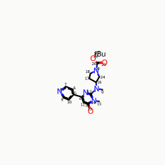 CN(c1nc(-c2ccncc2)cc(=O)n1C)C1CCN(C(=O)OC(C)(C)C)C1